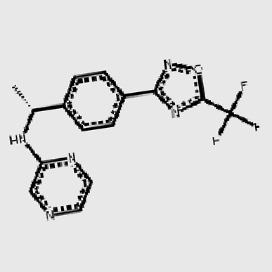 C[C@@H](Nc1cnccn1)c1ccc(-c2noc(C(F)(F)F)n2)cc1